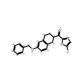 O=C(c1ncc(I)o1)C1CCc2cc(OCc3ccccc3)ccc2C1